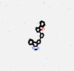 c1cc(-c2ccc3c(c2)c2ccccc2c2nccnc32)cc(-c2cccc3c2oc2ccccc23)c1